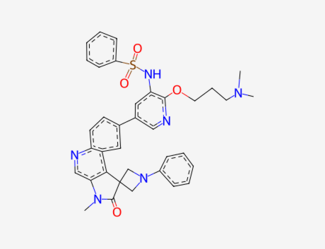 CN(C)CCCOc1ncc(-c2ccc3ncc4c(c3c2)C2(CN(c3ccccc3)C2)C(=O)N4C)cc1NS(=O)(=O)c1ccccc1